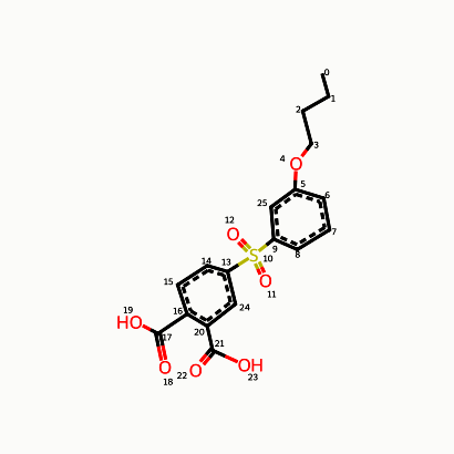 CCCCOc1cccc(S(=O)(=O)c2ccc(C(=O)O)c(C(=O)O)c2)c1